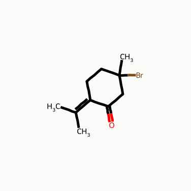 CC(C)=C1CCC(C)(Br)CC1=O